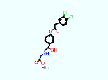 CC(C)(C)OC(=O)CNCC(O)c1ccc(OC(=O)Cc2ccc(Cl)c(Cl)c2)cc1